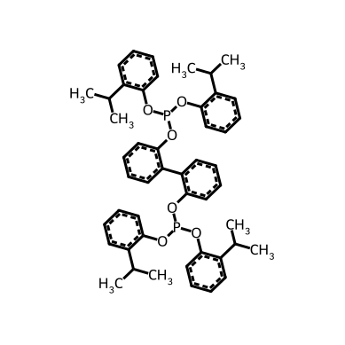 CC(C)c1ccccc1OP(Oc1ccccc1-c1ccccc1OP(Oc1ccccc1C(C)C)Oc1ccccc1C(C)C)Oc1ccccc1C(C)C